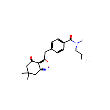 COCCN(C)C(=O)c1ccc(Cc2onc3c2C(=O)CC(C)(C)C3)cc1